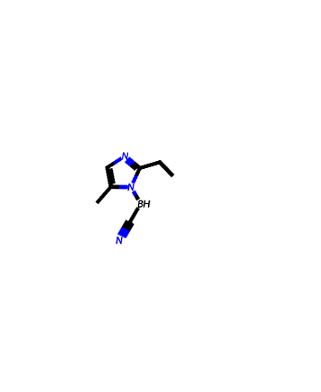 CCc1ncc(C)n1BC#N